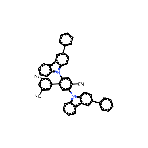 N#Cc1cc(C#N)cc(-c2cc(-n3c4ccccc4c4cc(-c5ccccc5)ccc43)c(C#N)cc2-n2c3ccccc3c3cc(-c4ccccc4)ccc32)c1